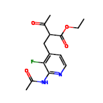 CCOC(=O)C(Cc1ccnc(NC(C)=O)c1F)C(C)=O